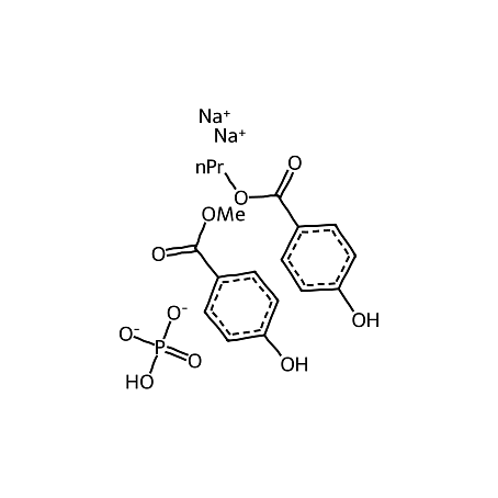 CCCOC(=O)c1ccc(O)cc1.COC(=O)c1ccc(O)cc1.O=P([O-])([O-])O.[Na+].[Na+]